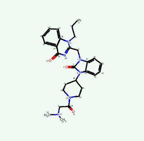 CC(C)CCn1c(Cn2c(=O)n(C3CCN(C(=O)CN(C)C)CC3)c3ccccc32)nc(=O)c2ccccc21